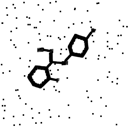 ON=C(Nc1ccc(Br)cc1)c1ccccc1F